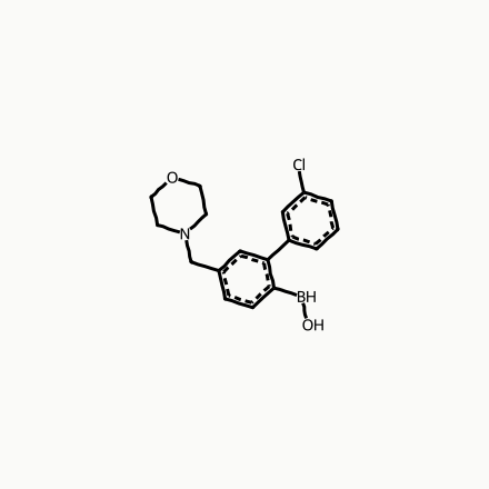 OBc1ccc(CN2CCOCC2)cc1-c1cccc(Cl)c1